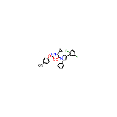 O=Nc1ccc(OC(=O)N[C@H](C(=O)N2CC(c3cc(F)ccc3F)=C[C@H]2c2ccccc2)C2CC2)cc1